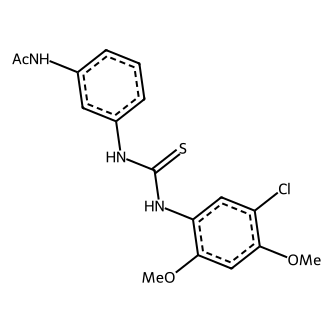 COc1cc(OC)c(NC(=S)Nc2cccc(NC(C)=O)c2)cc1Cl